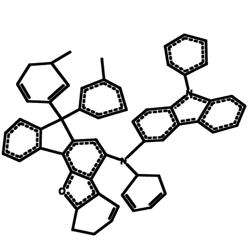 Cc1cccc(C2(C3=CC(C)CC=C3)c3ccccc3-c3c2cc(N(c2ccc4c(c2)c2ccccc2n4-c2ccccc2)C2C=CC=CC2)c2c4c(oc32)CCC=C4)c1